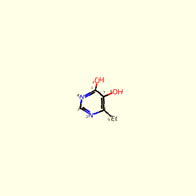 CCc1ncnc(O)c1O